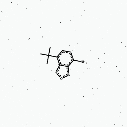 CC(C)(C)c1ccc(N)c2nonc12